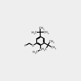 COc1c(OCF)cc(C(C)(C)C)cc1C(C)(C)C